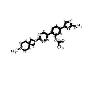 Cc1ncc(-c2ccc(-c3cnc(N4CC5(CCN(C)CC5)C4)nn3)c(OC(=O)C(F)(F)F)c2)o1